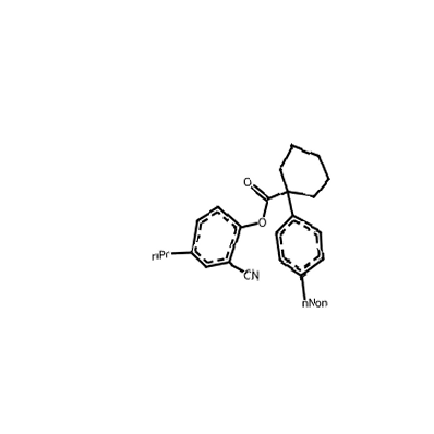 CCCCCCCCCc1ccc(C2(C(=O)Oc3ccc(CCC)cc3C#N)CCCCC2)cc1